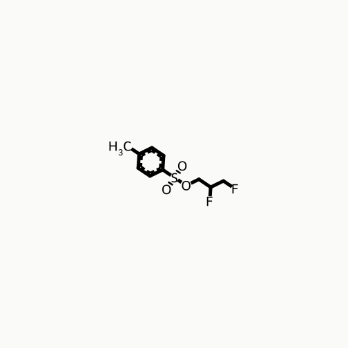 Cc1ccc(S(=O)(=O)OCC(F)CF)cc1